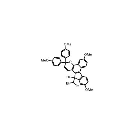 CCC(CC)C1(O)c2cc(OC)ccc2-c2c1c1c(c3cc(OC)ccc23)OC(c2ccc(OC)cc2)(c2ccc(OC)cc2)C=C1